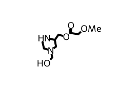 COCC(=O)OCC1CN(CO)CCN1